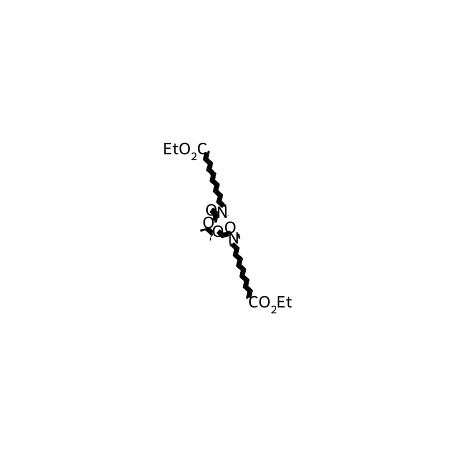 CCOC(=O)CCCCCCCCCCCN(C)C(=O)CO[C@H](C)[C@@H](C)OCC(=O)N(C)CCCCCCCCCCCC(=O)OCC